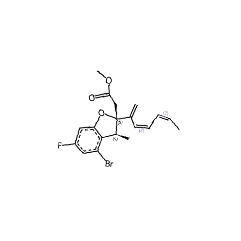 C=C(/C=C\C=C/C)[C@@]1(CC(=O)OC)Oc2cc(F)cc(Br)c2[C@@H]1C